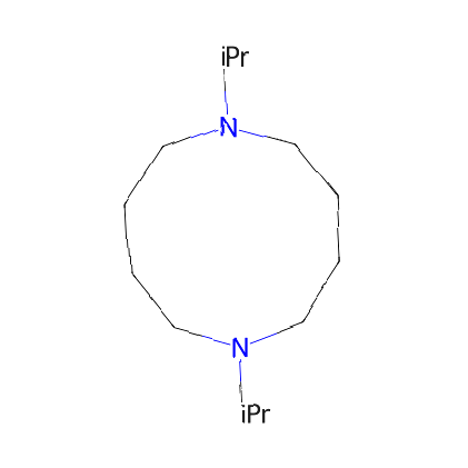 CC(C)N1CCCCN(C(C)C)CCCC1